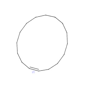 C1=C\CCCCCCCCCCCCCC/1